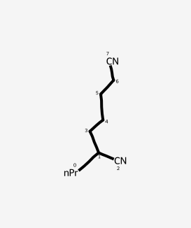 [CH2]CCC(C#N)CCCCC#N